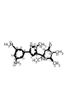 C=C1N[C@](C)(c2cc(-c3cc(N)cc(N)c3)nn2C)CC(=O)N1C